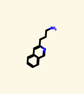 NCCCc1cc2ccccc2cn1